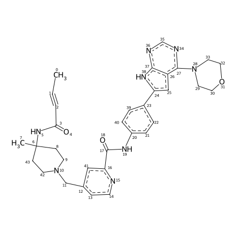 CC#CC(=O)NC1(C)CCN(Cc2ccnc(C(=O)Nc3ccc(-c4cc5c(N6CCOCC6)ncnc5[nH]4)cc3)c2)CC1